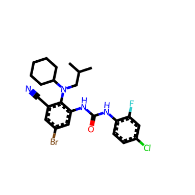 CC(C)CN(c1c(C#N)cc(Br)cc1NC(=O)Nc1ccc(Cl)cc1F)C1CCCCC1